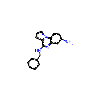 Nc1ccc2c(c1)nc(NCc1ccccc1)c1cccn12